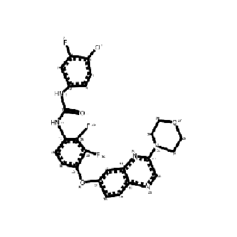 O=C(Nc1ccc(Cl)c(F)c1)Nc1ccc(Oc2ccc3ncc(N4CCOCC4)nc3c2)c(F)c1F